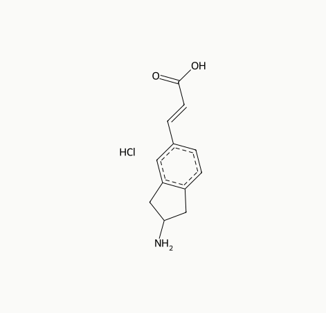 Cl.NC1Cc2ccc(C=CC(=O)O)cc2C1